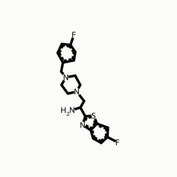 NC(CN1CCN(Cc2ccc(F)cc2)CC1)c1nc2ccc(F)cc2s1